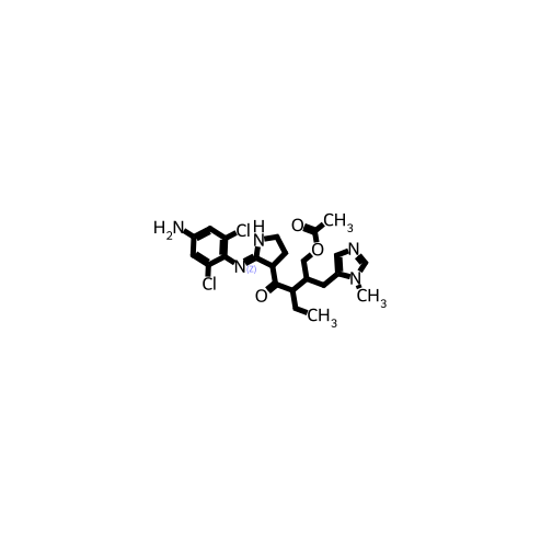 CCC(C(=O)C1CCN/C1=N\c1c(Cl)cc(N)cc1Cl)C(COC(C)=O)Cc1cncn1C